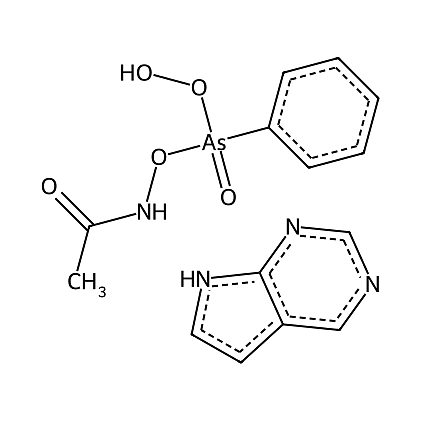 CC(=O)NO[As](=O)(OO)c1ccccc1.c1ncc2cc[nH]c2n1